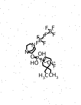 C1CN2CCN1CC2.CCC1(CC)C[N+]2(P(=O)(O)O)CC[N+]1(F)CC2.F[B-](F)(F)F.F[B-](F)(F)F